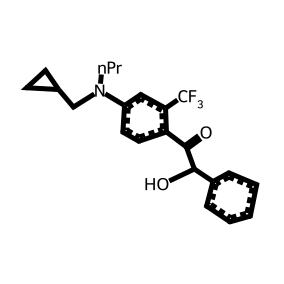 CCCN(CC1CC1)c1ccc(C(=O)C(O)c2ccccc2)c(C(F)(F)F)c1